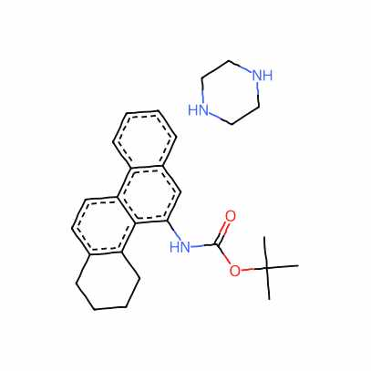 C1CNCCN1.CC(C)(C)OC(=O)Nc1cc2ccccc2c2ccc3c(c12)CCCC3